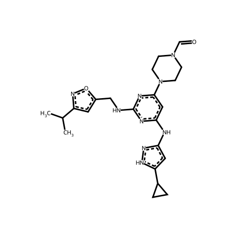 CC(C)c1cc(CNc2nc(Nc3cc(C4CC4)[nH]n3)cc(N3CCN(C=O)CC3)n2)on1